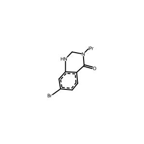 CC(C)N1CNc2cc(Br)ccc2C1=O